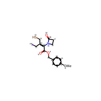 COc1ccc(COC(=O)/C(=C(/CS)CI)N2CCC2=O)cc1